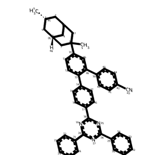 C[C@@H]1CC2C[C@@H](C1)CC(C)(c1ccc(-c3ccc(-c4nc(-c5ccccc5)nc(-c5ccccc5)n4)cc3)c(-c3ccc(C#N)cc3)c1)C2